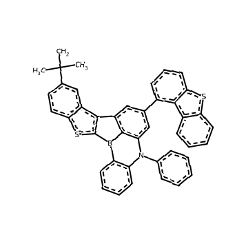 CC(C)(C)c1ccc2sc3c(c2c1)-c1cc(-c2cccc4sc5ccccc5c24)cc2c1B3c1ccccc1N2c1ccccc1